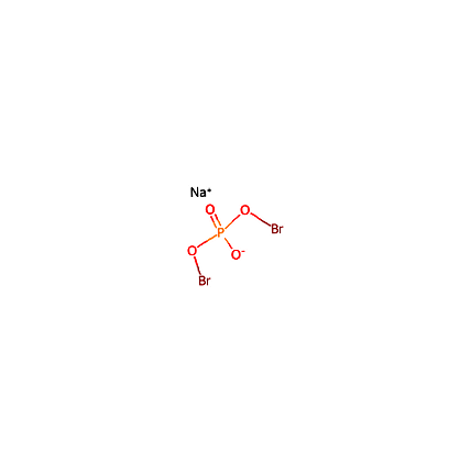 O=P([O-])(OBr)OBr.[Na+]